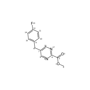 COC(=O)c1ncc(Cc2ccc(F)cc2)cn1